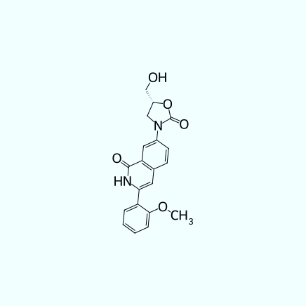 COc1ccccc1-c1cc2ccc(N3C[C@H](CO)OC3=O)cc2c(=O)[nH]1